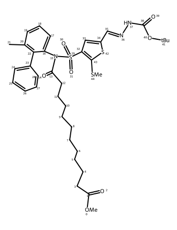 COC(=O)CCCCCCCCCCC(=O)N(c1cccc(C)c1-c1ccccc1)S(=O)(=O)c1cc(C=NNC(=O)OC(C)(C)C)sc1SC